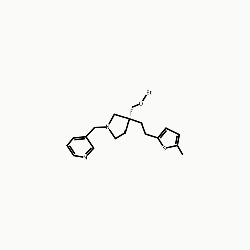 CCOC[C@]1(CCc2ccc(C)s2)CCN(Cc2cccnc2)C1